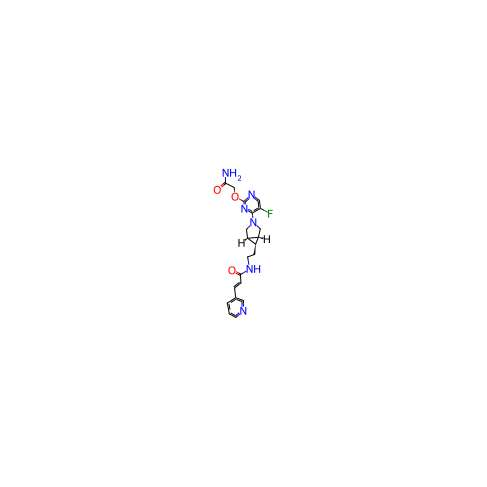 NC(=O)COc1ncc(F)c(N2C[C@@H]3[C@@H](CCNC(=O)/C=C/c4cccnc4)[C@@H]3C2)n1